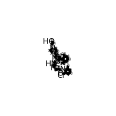 Cc1cccc(Cl)c1NC(=O)c1cnc(Nc2nc(-c3c(C)cccc3C)nc(N3CCN(CCO)CC3)n2)s1